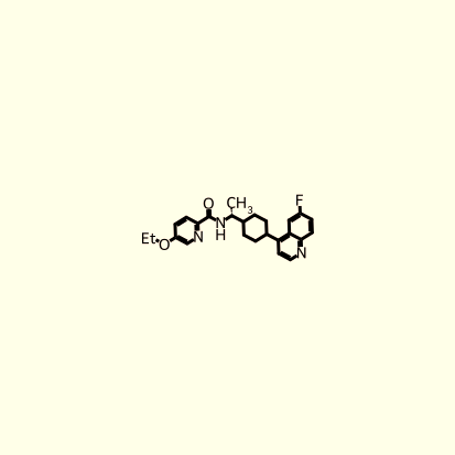 CCOc1ccc(C(=O)N[C@H](C)C2CCC(c3ccnc4ccc(F)cc34)CC2)nc1